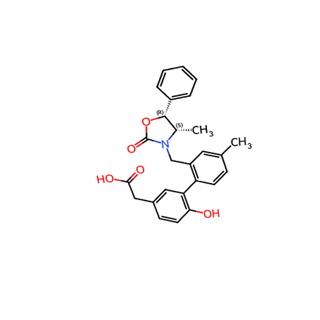 Cc1ccc(-c2cc(CC(=O)O)ccc2O)c(CN2C(=O)O[C@H](c3ccccc3)[C@@H]2C)c1